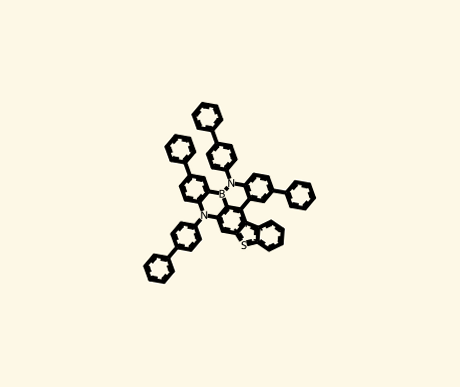 c1ccc(-c2ccc(N3B4c5cc(-c6ccccc6)ccc5N(c5ccc(-c6ccccc6)cc5)c5cc6sc7ccccc7c6c(c54)-c4cc(-c5ccccc5)ccc43)cc2)cc1